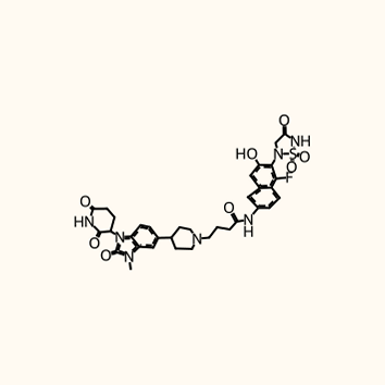 Cn1c(=O)n(C2CCC(=O)NC2=O)c2ccc(C3CCN(CCCC(=O)Nc4ccc5c(F)c(N6CC(=O)NS6(=O)=O)c(O)cc5c4)CC3)cc21